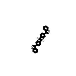 c1ccc2c(-c3ccc4c(c3)sc3c5ccc(-c6csc7ccccc67)cc5sc43)csc2c1